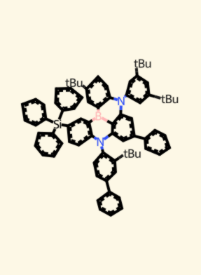 CC(C)(C)c1cc(N2c3ccc(C(C)(C)C)cc3B3c4cc([Si](c5ccccc5)(c5ccccc5)c5ccccc5)ccc4N(c4ccc(-c5ccccc5)cc4C(C)(C)C)c4cc(-c5ccccc5)cc2c43)cc(C(C)(C)C)c1